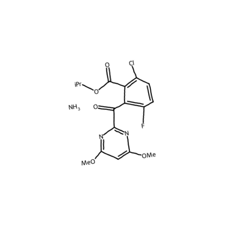 COc1cc(OC)nc(C(=O)c2c(F)ccc(Cl)c2C(=O)OC(C)C)n1.N